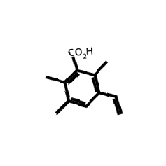 C=Cc1cc(C)c(C)c(C(=O)O)c1C